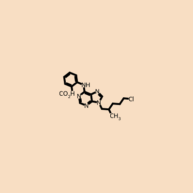 CC(CCCCl)Cn1cnc2c(Nc3ccccc3C(=O)O)ncnc21